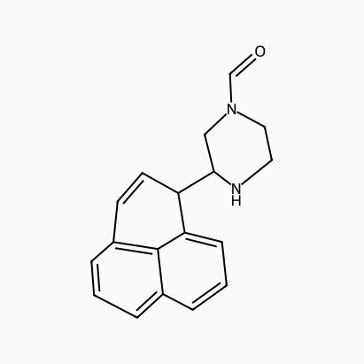 O=CN1CCNC(C2C=Cc3cccc4cccc2c34)C1